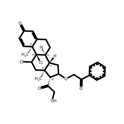 C[C@]12CC(Cl)[C@@]3(Cl)[C@@H](CCC4=CC(=O)C=C[C@@]43C)[C@@H]1CC(OCC(=O)c1ccccc1)[C@@H]2C(=O)CO